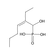 CCCC=C(CC)C(O)P(=O)(O)O